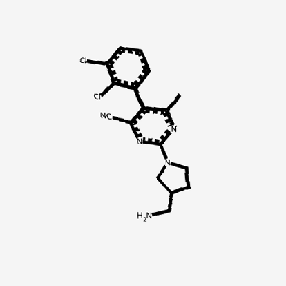 Cc1nc(N2CCC(CN)C2)nc(C#N)c1-c1cccc(Cl)c1Cl